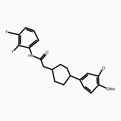 COc1ccc(C2CCC(CC(=O)Nc3cccc(F)c3F)CC2)cc1Cl